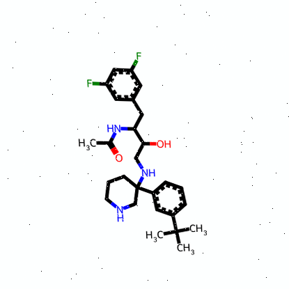 CC(=O)NC(Cc1cc(F)cc(F)c1)C(O)CNC1(c2cccc(C(C)(C)C)c2)CCCNC1